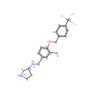 FC(F)(F)c1ccc(COc2ccc(CNC3CCNC3)cc2Br)cc1